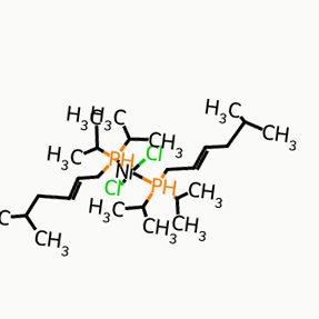 CC(C)CC=CC[PH](C(C)C)(C(C)C)[Ni]([Cl])([Cl])[PH](CC=CCC(C)C)(C(C)C)C(C)C